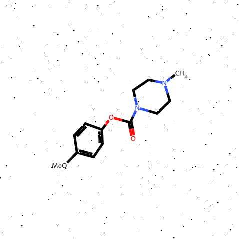 COc1ccc(OC(=O)N2CCN(C)CC2)cc1